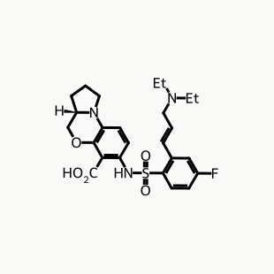 CCN(CC)CC=Cc1cc(F)ccc1S(=O)(=O)Nc1ccc2c(c1C(=O)O)OC[C@@H]1CCCN21